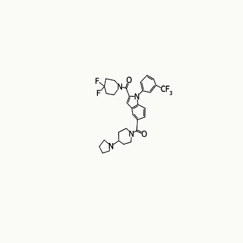 O=C(c1ccc2c(c1)cc(C(=O)N1CCC(F)(F)CC1)n2-c1cccc(C(F)(F)F)c1)N1CCC(N2CCCC2)CC1